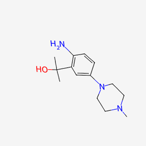 CN1CCN(c2ccc(N)c(C(C)(C)O)c2)CC1